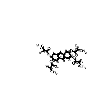 C=C(F)C(=O)Oc1cc2cc3cc(OC(=O)C(=C)F)c(OC(=O)C(=C)F)cc3cc2cc1OC(=O)C(=C)F